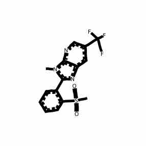 Cn1c(-c2ccccc2S(C)(=O)=O)nc2cc(C(F)(F)F)cnc21